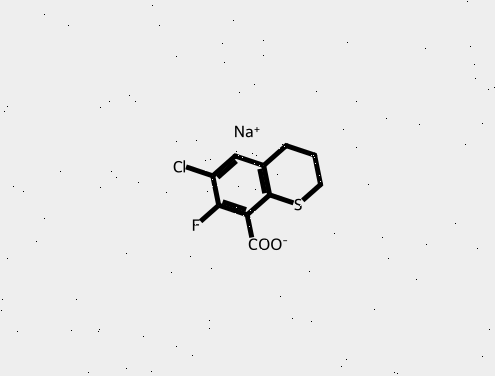 O=C([O-])c1c(F)c(Cl)cc2c1SCCC2.[Na+]